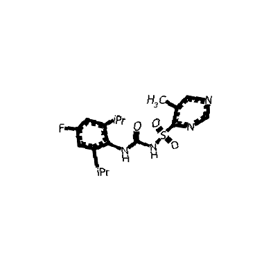 Cc1cncnc1S(=O)(=O)NC(=O)Nc1c(C(C)C)cc(F)cc1C(C)C